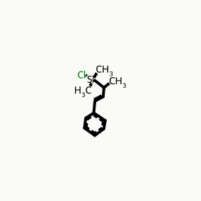 CC(/C=C/c1ccccc1)[Si](C)(C)Cl